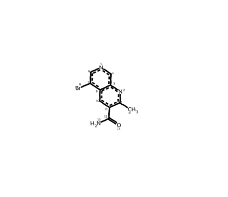 Cc1nc2cncc(Br)c2cc1C(N)=O